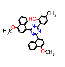 COc1ccc(-c2nc(-c3ccc(C)cc3O)nc(-c3ccc(OC)c4ccccc34)n2)c2ccccc12